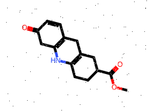 COC(=O)C1CCC2=C(CC3=C(CC(=O)C=C3)N2)C1